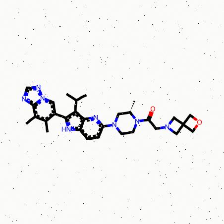 Cc1c(-c2[nH]c3ccc(N4CCN(C(=O)CN5CC6(COC6)C5)[C@@H](C)C4)nc3c2C(C)C)cn2ncnc2c1C